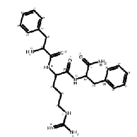 N=C(N)NCCCC(NC(=O)C(N)Cc1ccccc1)C(=O)NC(Cc1ccccc1)C(N)=O